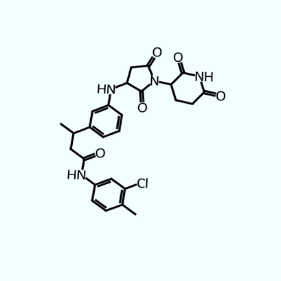 Cc1ccc(NC(=O)CC(C)c2cccc(NC3CC(=O)N(C4CCC(=O)NC4=O)C3=O)c2)cc1Cl